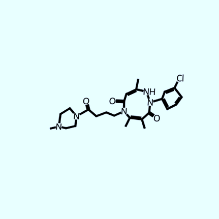 Cc1cc(=O)n(CCCC(=O)N2CCN(C)CC2)c(C)c(C)c(=O)n(-c2cccc(Cl)c2)[nH]1